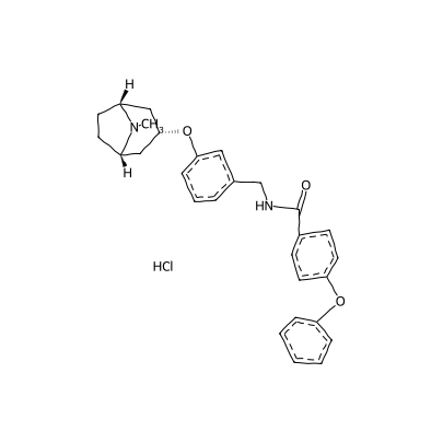 CN1[C@@H]2CC[C@H]1C[C@@H](Oc1cccc(CNC(=O)c3ccc(Oc4ccccc4)cc3)c1)C2.Cl